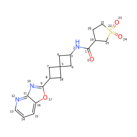 O=C(NC1CC2(C1)CC(c1nc3ncccc3o1)C2)C1CCS(=O)(=O)C1